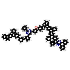 CC1(C)c2ccccc2-c2cc3c(cc21)-c1cc(-c2cccc(-c4cccc(-c5cc(-c6ccc7c(c6)oc6cc(CC8(C)c9ccccc9-c9cc%10c(cc98)-c8cc(-c9cccc(-c%11cccc(-c%12nc(-c%13ccccc%13)c(-c%13ccccc%13)nc%12-c%12ccccc%12)c%11)c9)ccc8C%108CCCCC8)ccc67)nc(-c6ccccc6)n5)c4)c2)ccc1C31CCCCC1